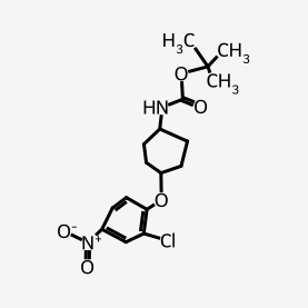 CC(C)(C)OC(=O)NC1CCC(Oc2ccc([N+](=O)[O-])cc2Cl)CC1